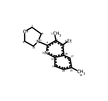 CCc1c(C)c(N2CCOCC2)nc2ccc(C)cc12